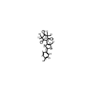 Cc1ccc(-c2nc(C3C(=O)C(C)(C)C(=O)C(C)(C)C3=O)c(C)s2)cc1